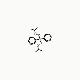 CC(C)OO[Si](OOC(C)C)(c1ccccc1)c1ccccc1